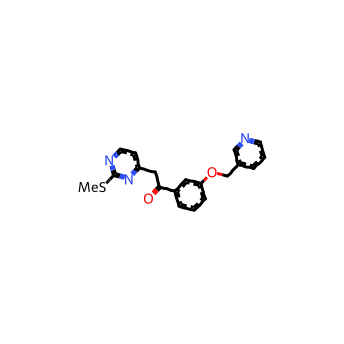 CSc1nccc(CC(=O)c2cccc(OCc3cccnc3)c2)n1